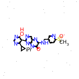 CC(C)n1c(=O)c(NCc2ccc([S+](C)[O-])nc2)nc2cnc(-c3c(O)ncnc3C3CC3)nc21